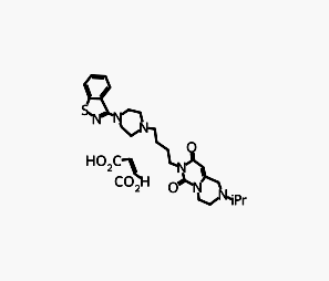 CC(C)N1CCn2c(cc(=O)n(CCCCN3CCN(c4nsc5ccccc45)CC3)c2=O)C1.O=C(O)/C=C/C(=O)O